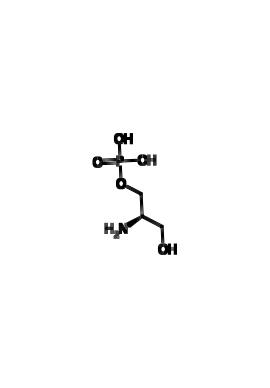 N[C@H](CO)COP(=O)(O)O